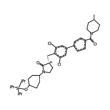 CC1CCN(C(=O)c2ccc(-c3cc(Cl)c(C[C@@H]4CCN(C5CCC(O[Si](C(C)C)(C(C)C)C(C)C)CC5)C4=O)c(Cl)c3)cc2)CC1